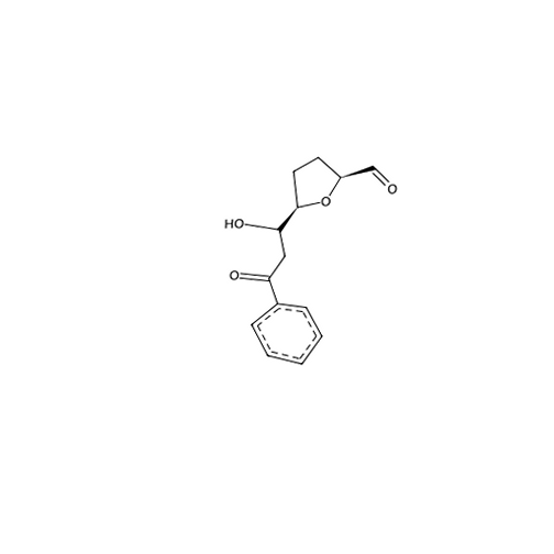 O=C[C@@H]1CC[C@H](C(O)CC(=O)c2ccccc2)O1